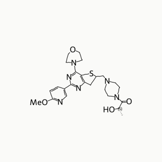 COc1ccc(-c2nc3c(c(N4CCOCC4)n2)SC(CN2CCN(C(=O)[C@H](C)O)CC2)C3)cn1